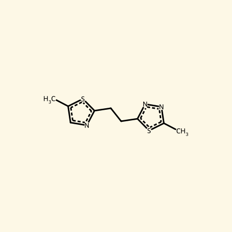 Cc1cnc(CCc2nnc(C)s2)s1